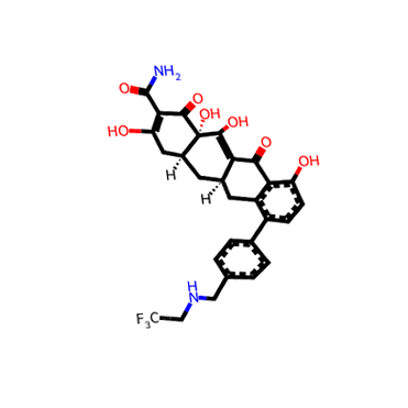 NC(=O)C1=C(O)C[C@@H]2C[C@@H]3Cc4c(-c5ccc(CNCC(F)(F)F)cc5)ccc(O)c4C(=O)C3=C(O)[C@]2(O)C1=O